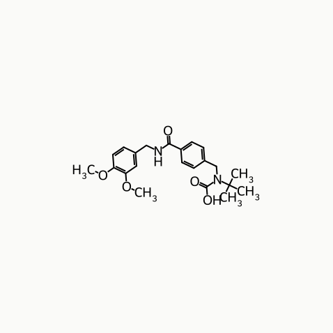 COc1ccc(CNC(=O)c2ccc(CN(C(=O)O)C(C)(C)C)cc2)cc1OC